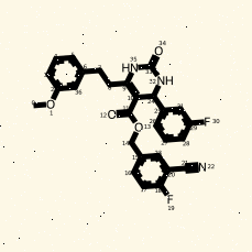 COc1cccc(CCC2=C(C(=O)OCc3ccc(F)c(C#N)c3)C(c3cccc(F)c3)NC(=O)N2)c1